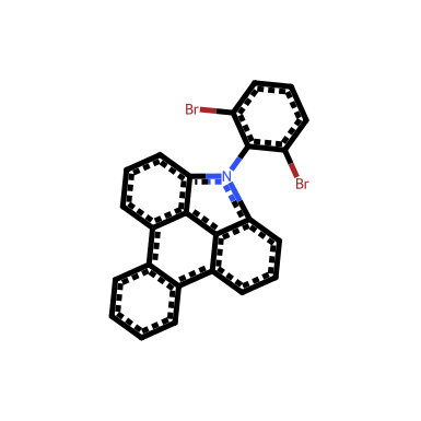 Brc1cccc(Br)c1-n1c2cccc3c4ccccc4c4cccc1c4c32